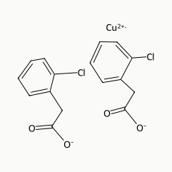 O=C([O-])Cc1ccccc1Cl.O=C([O-])Cc1ccccc1Cl.[Cu+2]